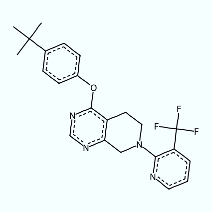 CC(C)(C)c1ccc(Oc2ncnc3c2CCN(c2ncccc2C(F)(F)F)C3)cc1